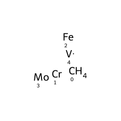 C.[Cr].[Fe].[Mo].[V]